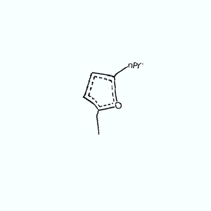 CC[CH]c1ccc(C)o1